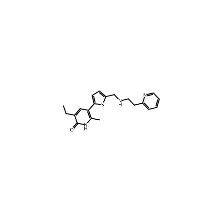 CCc1cc(-c2ccc(CNCCc3ccccn3)s2)c(C)[nH]c1=O